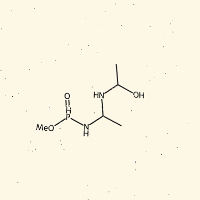 CO[PH](=O)NC(C)NC(C)O